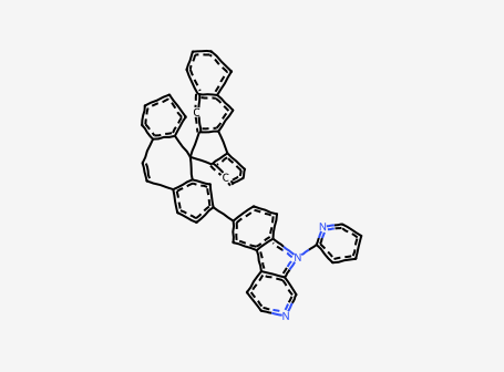 C1=Cc2ccc(-c3ccc4c(c3)c3ccncc3n4-c3ccccn3)cc2C2(c3ccccc31)c1ccccc1-c1cc3ccccc3cc12